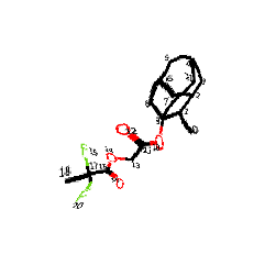 CC1C2CC3CC(C2)CC1(OC(=O)COC(=O)C(C)(F)F)C3